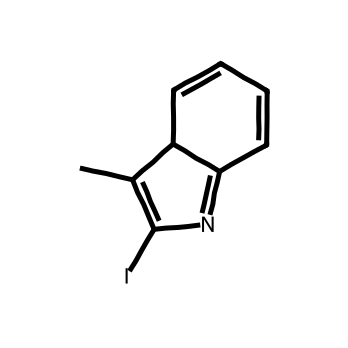 CC1=C(I)N=C2C=CC=CC21